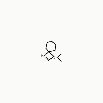 CC(C)[C@@H]1CNC12CCCCC2